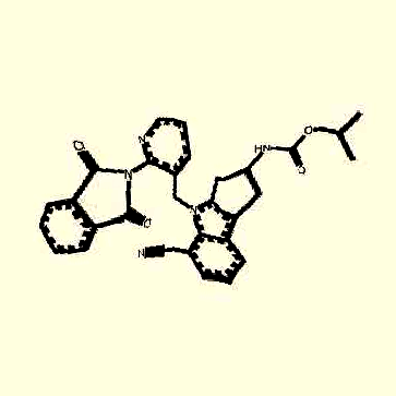 CC(C)OC(=O)NC1Cc2c(n(Cc3cccnc3N3C(=O)c4ccccc4C3=O)c3c(C#N)cccc23)C1